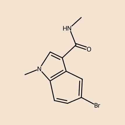 CNC(=O)c1cn(C)c2ccc(Br)cc12